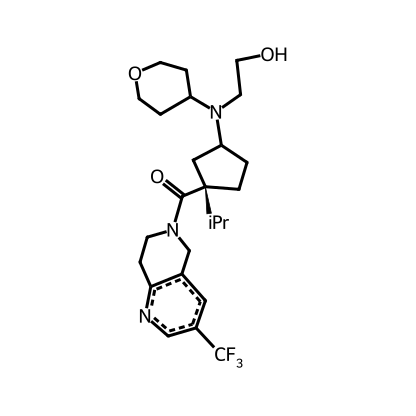 CC(C)[C@]1(C(=O)N2CCc3ncc(C(F)(F)F)cc3C2)CCC(N(CCO)C2CCOCC2)C1